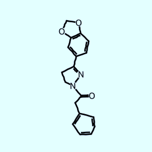 O=C(Cc1ccccc1)N1CCC(c2ccc3c(c2)OCO3)=N1